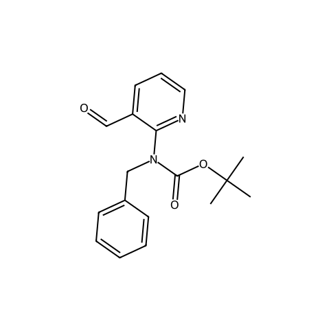 CC(C)(C)OC(=O)N(Cc1ccccc1)c1ncccc1C=O